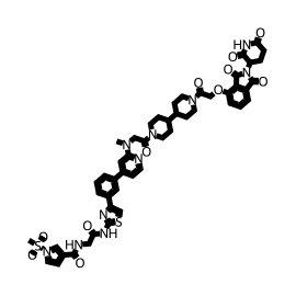 CN(CC(=O)N1CCC(C2CCN(C(=O)COc3cccc4c3C(=O)N(C3CCC(=O)NC3=O)C4=O)CC2)CC1)c1cc(-c2cccc(-c3csc(NC(=O)CNC(=O)c4ccn(S(C)(=O)=O)c4)n3)c2)ccn1